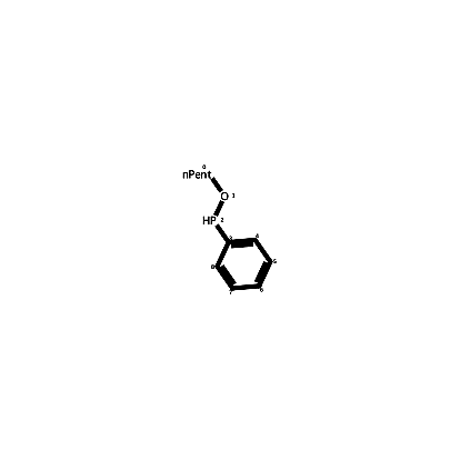 CCCCCOPc1ccccc1